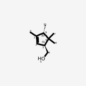 CC1=C[C@H](CO)C(C)(C)[C@H]1C